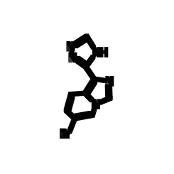 Brc1ccc2c(-c3nnc[nH]3)ncn2c1